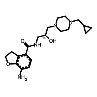 Nc1ccc(C(=O)NC[C@H](O)CN2CCN(CC3CC3)CC2)c2c1OCC2